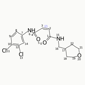 O=C(/C=C\C(=O)Nc1ccc(Cl)c(Cl)c1)NCC1CCOCC1